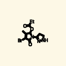 CCC(=O)OC1C(C)=C(Br)C(=O)N1C1=NNCC1